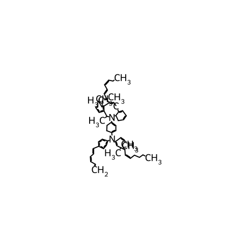 C=C/C=C\C=C\c1ccc(N(C2=CC=C(N3C4CC=CC=C4C/C=C(/C(C)(C)/C=C/C=C\CC)c4c(ccn4C)C3C)CC2)C(/C=C\C)=C/C(C)(C)C/C=C\CCCC)cc1